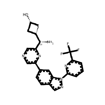 N[C@H](c1cncc(-c2ccc3cnn(-c4cccc(C(F)(F)F)n4)c3c2)n1)[C@H]1C[C@@H](O)C1